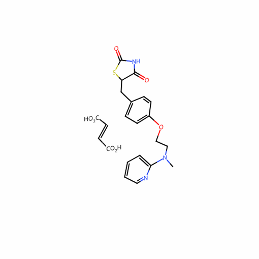 CN(CCOc1ccc(CC2SC(=O)NC2=O)cc1)c1ccccn1.O=C(O)/C=C/C(=O)O